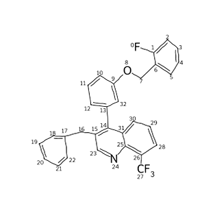 Fc1ccccc1COc1cccc(-c2c(Cc3ccccc3)cnc3c(C(F)(F)F)cccc23)c1